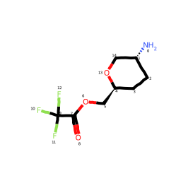 N[C@@H]1CC[C@@H](COC(=O)C(F)(F)F)OC1